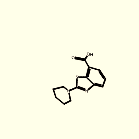 O=C(O)c1cccc2nc(N3CCCCC3)sc12